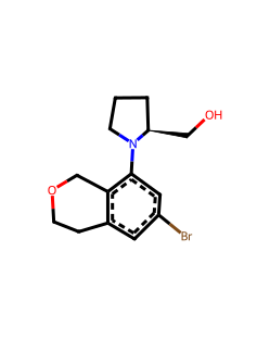 OC[C@@H]1CCCN1c1cc(Br)cc2c1COCC2